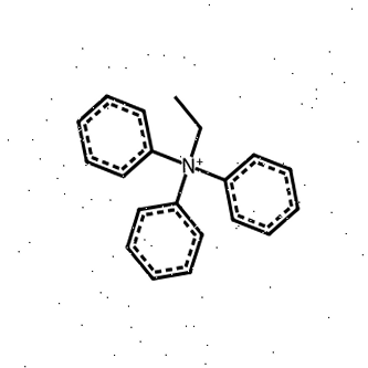 CC[N+](c1ccccc1)(c1ccccc1)c1ccccc1